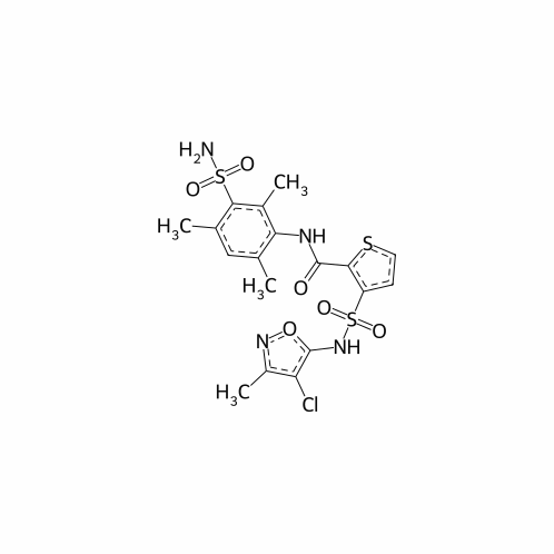 Cc1cc(C)c(S(N)(=O)=O)c(C)c1NC(=O)c1sccc1S(=O)(=O)Nc1onc(C)c1Cl